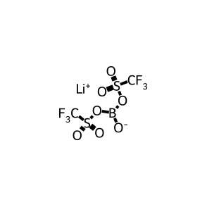 O=S(=O)(OB([O-])OS(=O)(=O)C(F)(F)F)C(F)(F)F.[Li+]